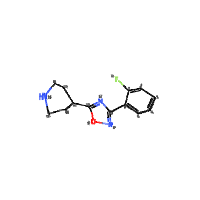 Fc1ccccc1-c1noc(C2CCNCC2)n1